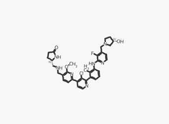 COc1nc(-c2ccnc(-c3cccc(Nc4nccc(CN5CC[C@H](O)C5)c4F)c3C)c2Cl)ccc1CNC[C@@H]1CCC(=O)N1